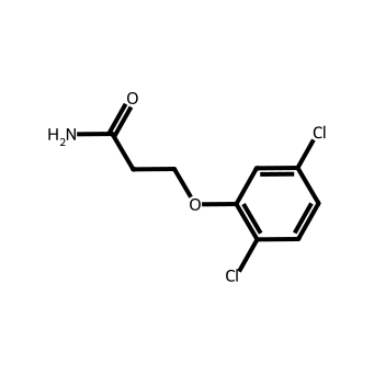 NC(=O)CCOc1cc(Cl)ccc1Cl